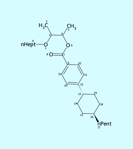 CCCCCCCOC(C)C(C)OC(=O)c1ccc([C@H]2CC[C@H](CCCCC)CC2)cc1